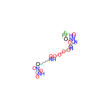 CC1=C(c2ccc(OCCOCCOCCOCC(=O)NCCCCCCc3cccc4c3CN(C3CCC(=O)NC3=O)C4=O)nc2)CC(NC(=O)c2cccc(C(F)(F)F)c2)(N2CCOCC2)C=N1